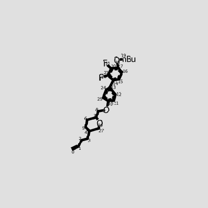 C=CCCC1CCC(COc2ccc(-c3ccc(OCCCC)c(F)c3F)cc2)OC1